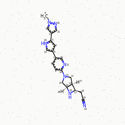 Cn1cc(-c2cc(-c3ccc(N4C[C@@H]5[C@H](C4)N[C@@H]5CC#N)nc3)c[nH]2)cn1